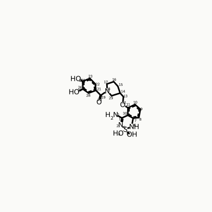 NC1=NS(O)(O)Nc2cccc(OCC3CCCN(C(=O)c4ccc(O)c(O)c4)C3)c21